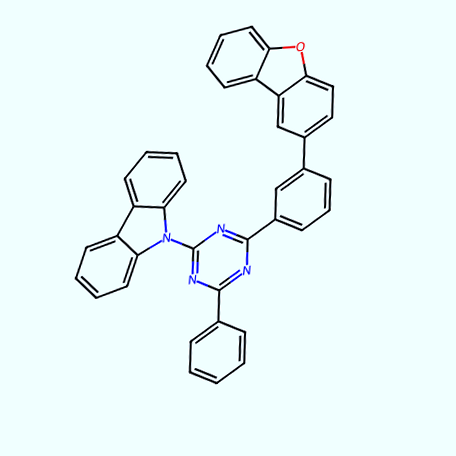 c1ccc(-c2nc(-c3cccc(-c4ccc5oc6ccccc6c5c4)c3)nc(-n3c4ccccc4c4ccccc43)n2)cc1